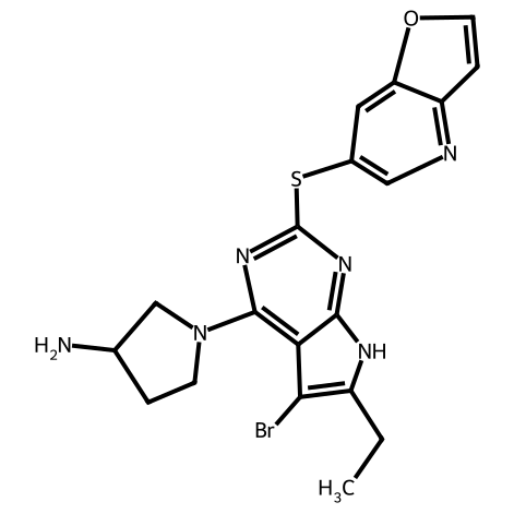 CCc1[nH]c2nc(Sc3cnc4ccoc4c3)nc(N3CCC(N)C3)c2c1Br